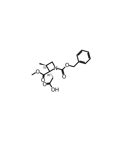 COC(=O)[C@@]1(CC(=O)O)[C@@H](C)CN1C(=O)OCc1ccccc1